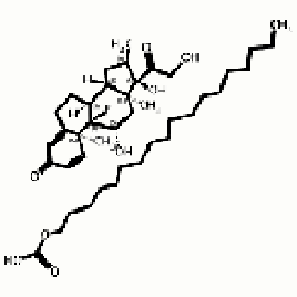 CCCCCCCCCCCCCCCCCCOC(=O)O.C[C@@H]1C[C@H]2[C@@H]3CCC4=CC(=O)C=C[C@]4(C)[C@@]3(F)[C@@H](O)C[C@]2(C)[C@@]1(O)C(=O)CO